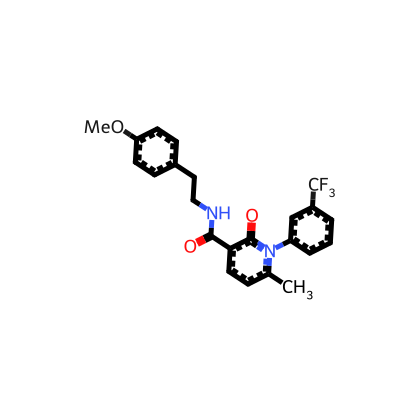 COc1ccc(CCNC(=O)c2ccc(C)n(-c3cccc(C(F)(F)F)c3)c2=O)cc1